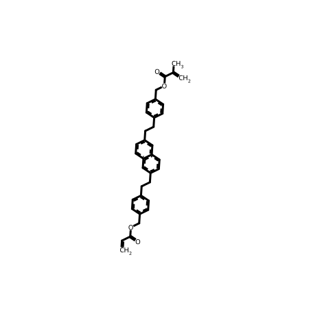 C=CC(=O)OCc1ccc(CCc2ccc3cc(CCc4ccc(COC(=O)C(=C)C)cc4)ccc3c2)cc1